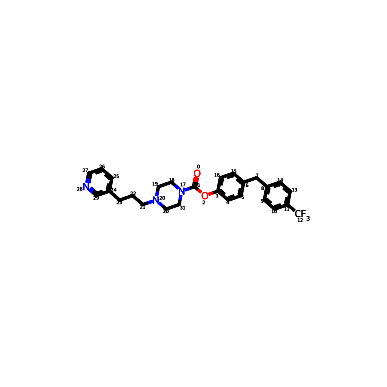 O=C(Oc1ccc(Cc2ccc(C(F)(F)F)cc2)cc1)N1CCN(CCCc2cccnc2)CC1